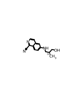 C[C@H](CO)CNc1ccc2c(C#N)nccc2c1